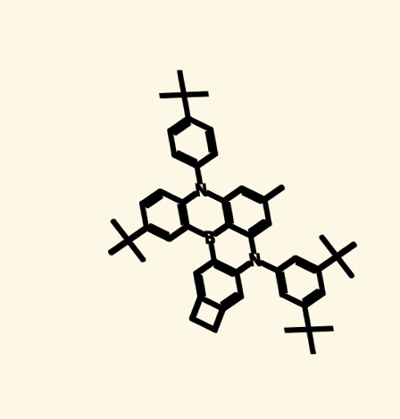 Cc1cc2c3c(c1)N(c1cc(C(C)(C)C)cc(C(C)(C)C)c1)c1cc4c(cc1B3c1cc(C(C)(C)C)ccc1N2c1ccc(C(C)(C)C)cc1)CC4